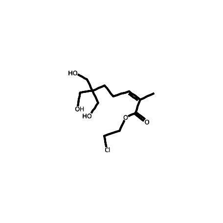 CC(=CCCC(CO)(CO)CO)C(=O)OCCCl